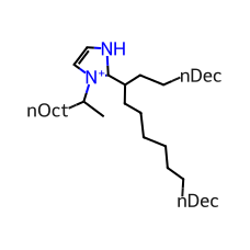 CCCCCCCCCCCCCCCCC(CCCCCCCCCCCC)c1[nH]cc[n+]1C(C)CCCCCCCC